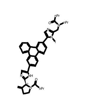 C=C1CCN(C(=O)CCC)[C@@H]1c1ncc(-c2ccc3c4ccc(-c5cnc(CN(CCC)C(=O)CCC)n5I)cc4c4ccccc4c3c2)[nH]1